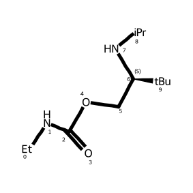 CCNC(=O)OC[C@@H](NC(C)C)C(C)(C)C